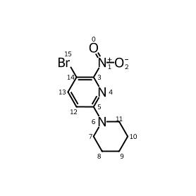 O=[N+]([O-])c1nc(N2CCCCC2)ccc1Br